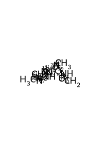 C=CC(=O)Nc1ccc2c(-c3ccnc(Nc4cnn(C(C)C)c4)n3)cn(C)c2c1